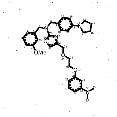 COc1cccc(CN(Cc2ccc(N3CCCC3)cc2)c2nc(COCCOc3cccc(N(C)C)c3)co2)c1